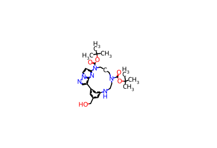 CC(C)(C)OC(=O)N1CCCN(C(=O)OC(C)(C)C)c2ccn3ncc(c3n2)-c2cc(CO)cc(c2)NCC1